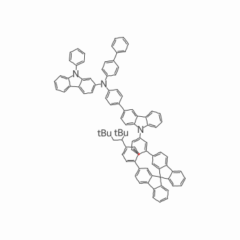 CC(C)(C)CC(c1ccc(-c2ccc3c(c2)C2(c4ccccc4-3)c3ccccc3-c3ccc(-c4cccc(-n5c6ccccc6c6cc(-c7ccc(N(c8ccc(-c9ccccc9)cc8)c8ccc9c%10ccccc%10n(-c%10ccccc%10)c9c8)cc7)ccc65)c4)cc32)cc1)C(C)(C)C